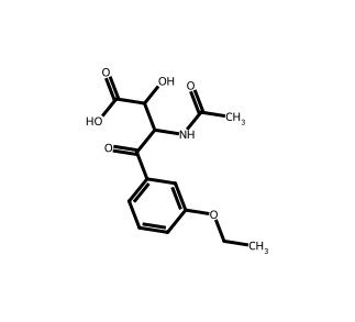 CCOc1cccc(C(=O)C(NC(C)=O)C(O)C(=O)O)c1